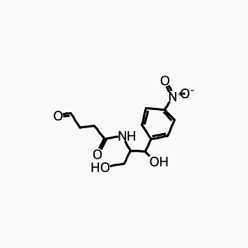 O=CCCC(=O)NC(CO)C(O)c1ccc([N+](=O)[O-])cc1